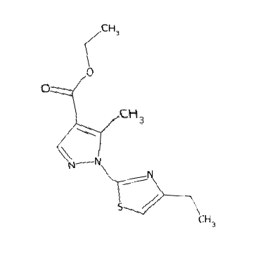 CCOC(=O)c1cnn(-c2nc(CC)cs2)c1C